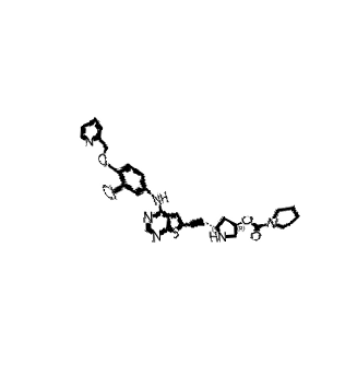 O=C(O[C@H]1CN[C@H](C#Cc2cc3c(Nc4ccc(OCc5ccccn5)c(Cl)c4)ncnc3s2)C1)N1CCCC1